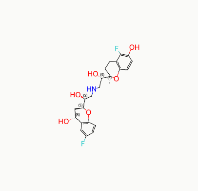 C[C@]1([C@@H](O)CNC[C@H](O)[C@@H]2C[C@@H](O)c3cc(F)ccc3O2)CCc2c(ccc(O)c2F)O1